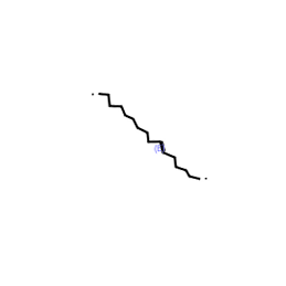 [CH2]CCCC/C=C/CCCCCCCC[CH2]